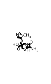 Cn1nncc1SCC1(C(=O)O)CS[C@@H]2C(N)C(=O)N2C1